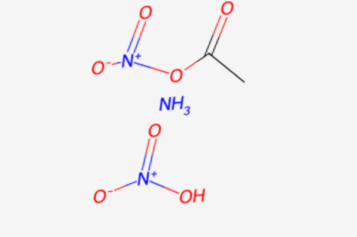 CC(=O)O[N+](=O)[O-].N.O=[N+]([O-])O